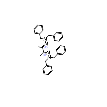 CC(=N\N(Cc1ccccc1)Cc1ccccc1)/C(C)=N/N(Cc1ccccc1)Cc1ccccc1